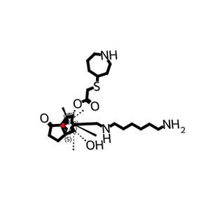 C[C@@H]1CC[C@@]23CCC(=O)C2[C@]1(C)[C@H](OC(=O)CSC1CCCNCC1)C[C@](C)(CNCCCCCCN)[C@@H](O)[C@@H]3C